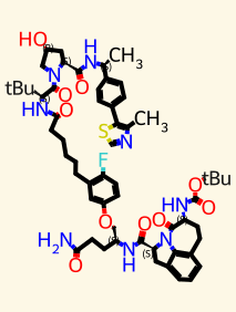 Cc1ncsc1-c1ccc([C@H](C)NC(=O)[C@@H]2C[C@@H](O)CN2C(=O)[C@@H](NC(=O)CCCCCc2cc(OC[C@H](CCC(N)=O)NC(=O)[C@@H]3Cc4cccc5c4N3C(=O)[C@@H](NC(=O)OC(C)(C)C)CC5)ccc2F)C(C)(C)C)cc1